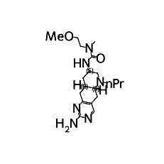 CCCN1C[C@@H](NC(=O)N(C)CCOC)C[C@@H]2Cc3nc(N)ncc3C[C@H]21